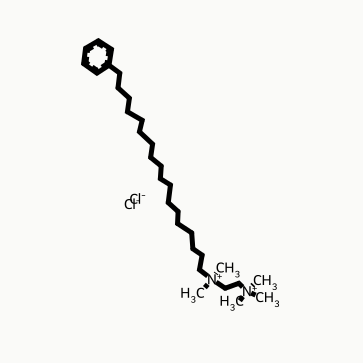 C[N+](C)(C)CC[N+](C)(C)CCCCCCCCCCCCCCCCCCc1ccccc1.[Cl-].[Cl-]